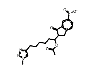 CC(=O)OC(CCCCCc1cn(C)nn1)C1Cc2ccc([N+](=O)[O-])cc2C1=O